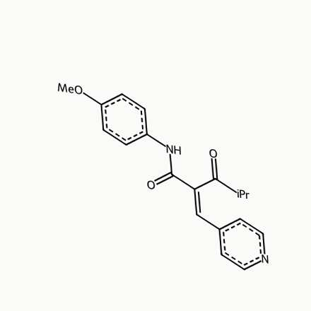 COc1ccc(NC(=O)C(=Cc2ccncc2)C(=O)C(C)C)cc1